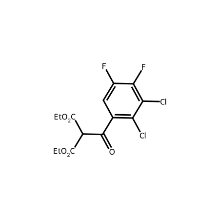 CCOC(=O)C(C(=O)OCC)C(=O)c1cc(F)c(F)c(Cl)c1Cl